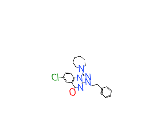 O=c1nc2n(CCc3ccccc3)nc(N3CCCCCC3)n2c2ccc(Cl)cc12